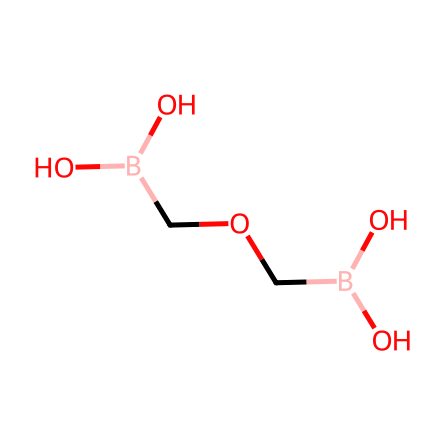 OB(O)COCB(O)O